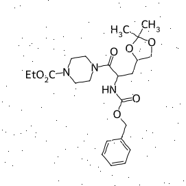 CCOC(=O)N1CCN(C(=O)C(CC2COC(C)(C)O2)NC(=O)OCc2ccccc2)CC1